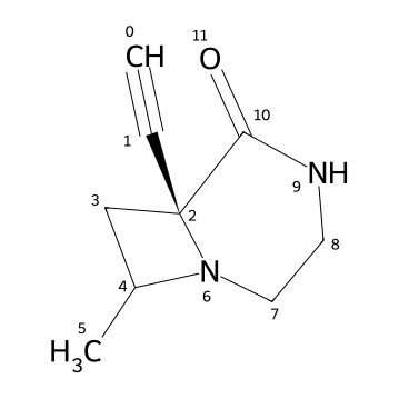 C#C[C@]12CC(C)N1CCNC2=O